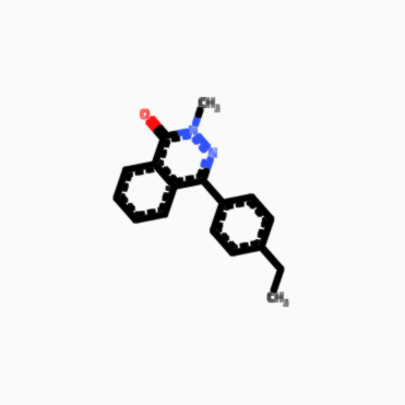 CCc1ccc(-c2nn(C)c(=O)c3ccccc23)cc1